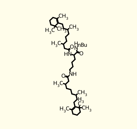 CCCCNC(=O)C(CCCCNC(=O)CC(C)CCCC(C)CCC1=C(C)CCCC1(C)C)NC(=O)CC(C)CCCC(C)CCC1=C(C)CCCC1(C)C